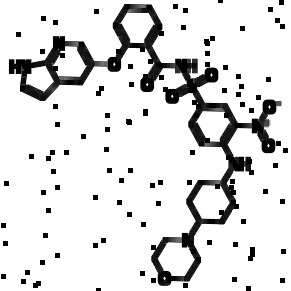 O=C(NS(=O)(=O)c1ccc(NC2CCC(N3CCOCC3)CC2)c([N+](=O)[O-])c1)c1ccccc1Oc1cnc2[nH]ccc2c1